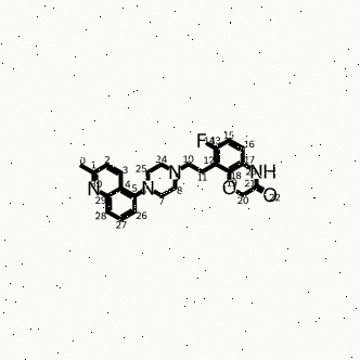 Cc1ccc2c(N3CCN(CCc4c(F)ccc5c4OCC(=O)N5)CC3)cccc2n1